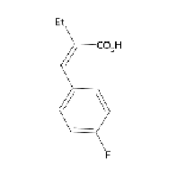 CCC(=Cc1ccc(F)cc1)C(=O)O